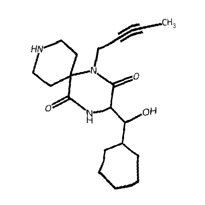 CC#CCN1C(=O)C(C(O)C2CCCCC2)NC(=O)C12CCNCC2